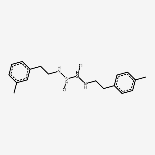 Cc1ccc(CCN[SiH](Cl)[SiH](Cl)NCCc2cccc(C)c2)cc1